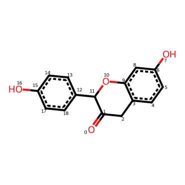 O=C1Cc2ccc(O)cc2OC1c1ccc(O)cc1